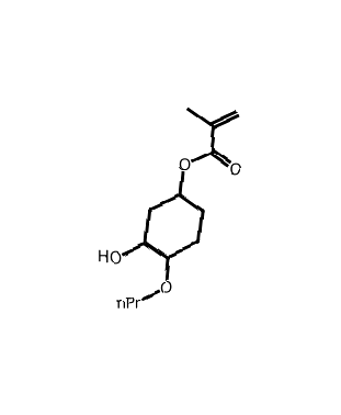 C=C(C)C(=O)OC1CCC(OCCC)C(O)C1